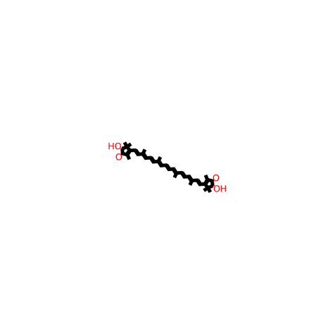 CC1=C(/C=C/C(C)=C/C=C/C(C)=C/C=C/C=C(C)/C=C/C=C(C)/C=C/C2=C(C)C(=O)C(O)C2(C)C)C(C)(C)C(O)C1=O